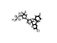 CC1(c2ncc(Cl)cc2-c2ncc(F)cc2F)CC(N2CC(NS(C)(=O)=O)C(F)(F)C2)=NO1